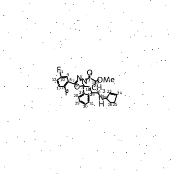 CO[C@@H](C)C(=O)N1N=C(c2cc(F)ccc2F)OC1(CCCNC1C=CCC1)c1ccccc1